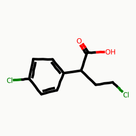 O=C(O)C(CCCl)c1ccc(Cl)cc1